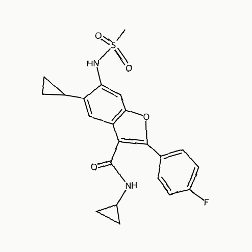 CS(=O)(=O)Nc1cc2oc(-c3ccc(F)cc3)c(C(=O)NC3CC3)c2cc1C1CC1